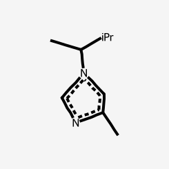 Cc1cn(C(C)C(C)C)cn1